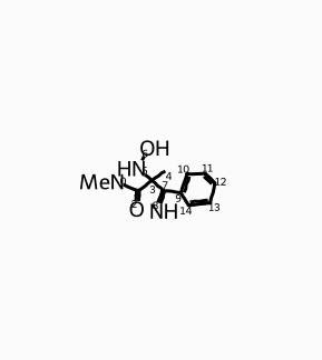 CNC(=O)C(C)(NO)C(=N)c1ccccc1